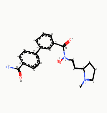 CN1CCCC1CCN(O)C(=O)c1cccc(-c2ccc(C(N)=O)cc2)c1